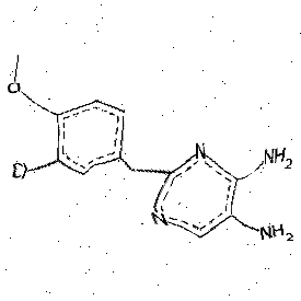 COc1ccc(-c2ncc(N)c(N)n2)cc1Cl